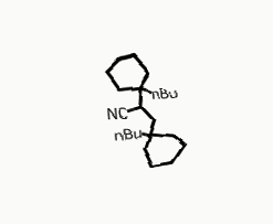 CCCCC1(CC(C#N)C2(CCCC)CCCCC2)CCCCC1